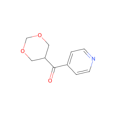 O=C(c1ccncc1)C1COCOC1